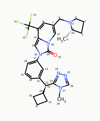 C[C@H]1CCCN1Cc1cc(C(F)(F)F)c2cn(-c3cccc([C@@H](c4nncn4C)C4CCC4)c3)c(=O)n2c1